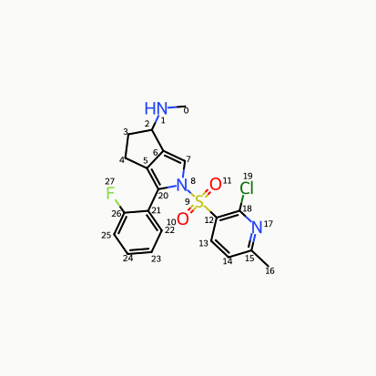 CNC1CCc2c1cn(S(=O)(=O)c1ccc(C)nc1Cl)c2-c1ccccc1F